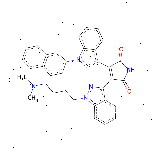 CN(C)CCCCn1nc(C2=C(c3cn(-c4ccc5ccccc5c4)c4ccccc34)C(=O)NC2=O)c2ccccc21